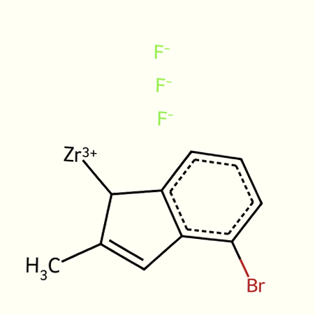 CC1=Cc2c(Br)cccc2[CH]1[Zr+3].[F-].[F-].[F-]